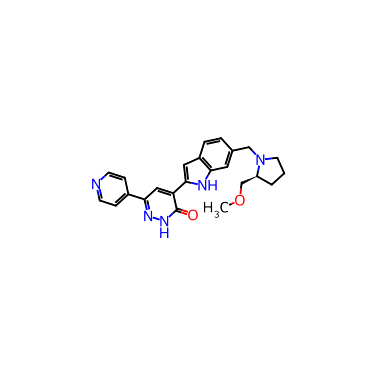 COC[C@@H]1CCCN1Cc1ccc2cc(-c3cc(-c4ccncc4)n[nH]c3=O)[nH]c2c1